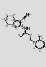 N#Cc1c(NC(=O)CCc2ccccc2Cl)sc2c1CCNC2